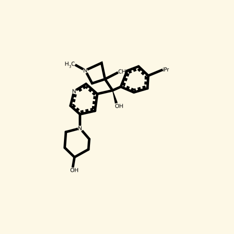 CC(C)c1ccc([C@](O)(c2cncc(N3CCC(O)CC3)c2)C2(C)CN(C)C2)cc1